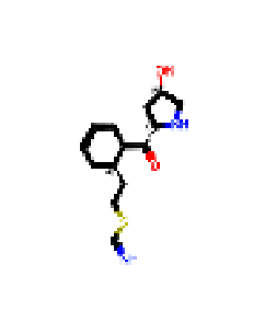 N=CSCC[C@H]1CC=CCC1C(=O)[C@@H]1C[C@@H](O)CN1